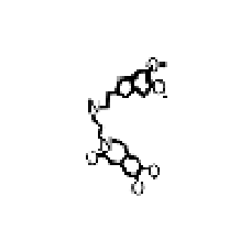 COc1cc2c(cc1OC)CC(=O)N(CCCN(C)CCC1Cc3cc(OC)c(OC)cc3C1)CC2